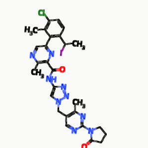 Cc1nc(N2CCCC2=O)ncc1Cn1cc(NC(=O)c2nc(-c3c(C(C)I)ccc(Cl)c3C)cnc2C)nn1